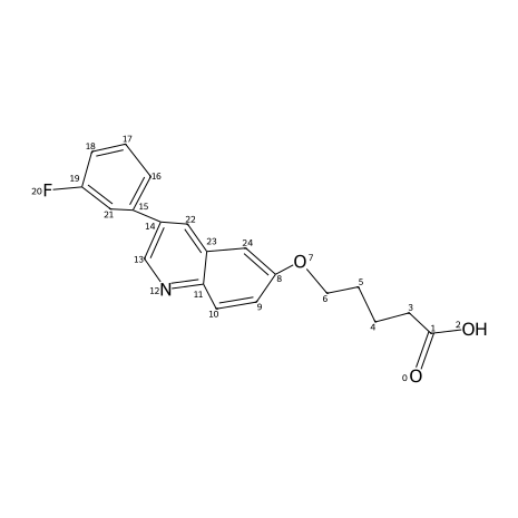 O=C(O)CCCCOc1ccc2ncc(-c3cccc(F)c3)cc2c1